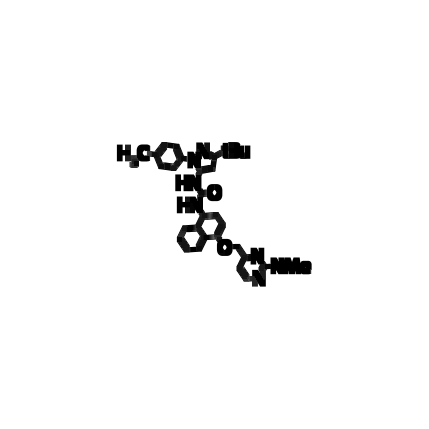 CNc1nccc(COc2ccc(NC(=O)Nc3cc(C(C)(C)C)nn3-c3ccc(C)cc3)c3ccccc23)n1